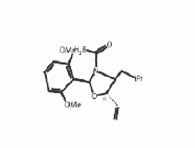 BC(=O)N1C(c2c(OC)cccc2OC)O[C@@H](C=C)C1CC(C)C